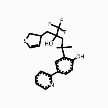 CC(C)(CC(O)(CC1C=CSC1)C(F)(F)F)c1cc(-c2ccccn2)ccc1O